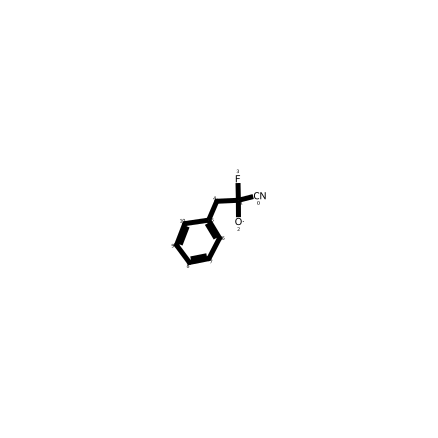 N#CC([O])(F)Cc1ccccc1